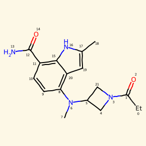 CCC(=O)N1CC(N(C)c2ccc(C(N)=O)c3[nH]c(C)cc23)C1